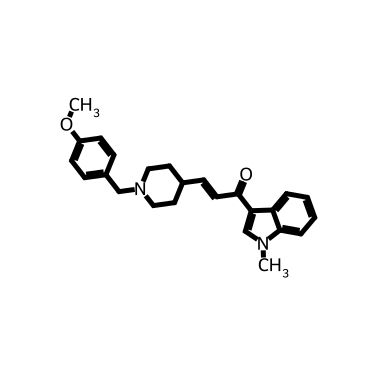 COc1ccc(CN2CCC(C=CC(=O)c3cn(C)c4ccccc34)CC2)cc1